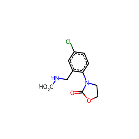 O=C(O)NCc1cc(Cl)ccc1N1CCOC1=O